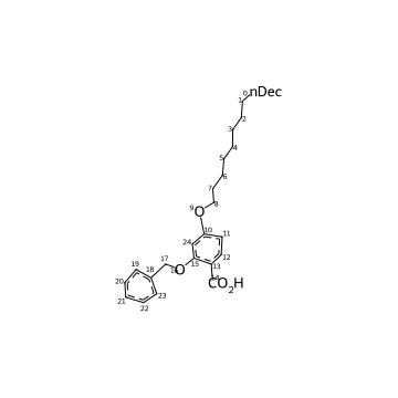 CCCCCCCCCCCCCCCCCCOc1ccc(C(=O)O)c(OCc2ccccc2)c1